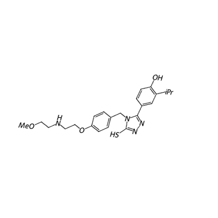 COCCNCCOc1ccc(Cn2c(S)nnc2-c2ccc(O)c(C(C)C)c2)cc1